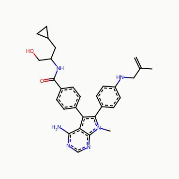 C=C(C)CNc1ccc(-c2c(-c3ccc(C(=O)NC(CO)CC4CC4)cc3)c3c(N)ncnc3n2C)cc1